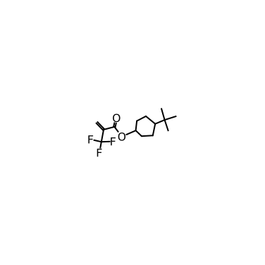 C=C(C(=O)OC1CCC(C(C)(C)C)CC1)C(F)(F)F